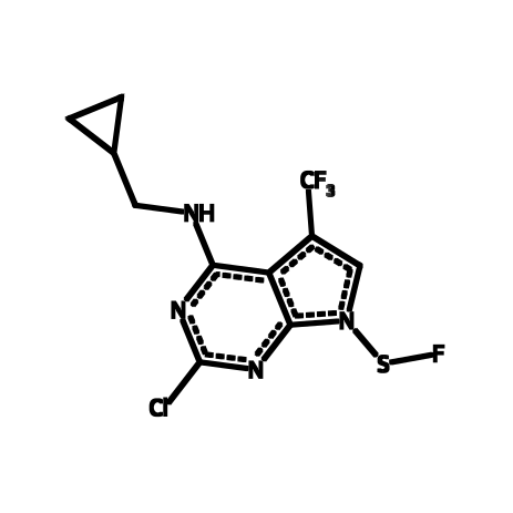 FSn1cc(C(F)(F)F)c2c(NCC3CC3)nc(Cl)nc21